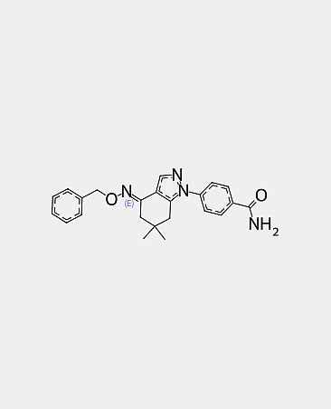 CC1(C)C/C(=N\OCc2ccccc2)c2cnn(-c3ccc(C(N)=O)cc3)c2C1